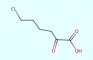 O=C(O)C(=O)CCCCCl